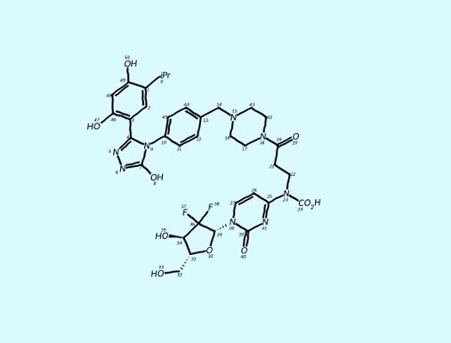 CC(C)c1cc(-c2nnc(O)n2-c2ccc(CN3CCN(C(=O)CCN(C(=O)O)c4ccn([C@@H]5O[C@H](CO)[C@@H](O)C5(F)F)c(=O)n4)CC3)cc2)c(O)cc1O